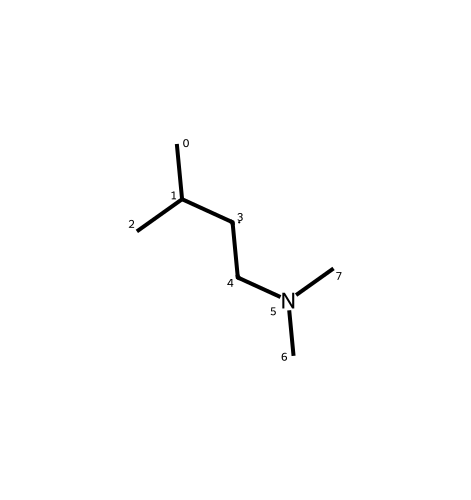 CC(C)[CH]CN(C)C